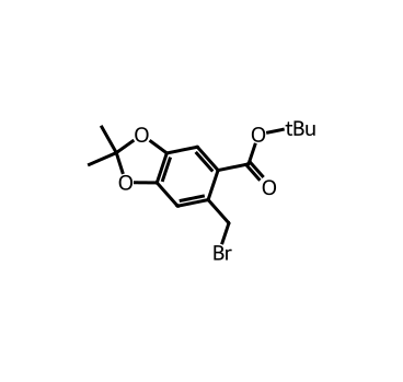 CC(C)(C)OC(=O)c1cc2c(cc1CBr)OC(C)(C)O2